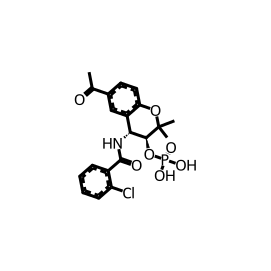 CC(=O)c1ccc2c(c1)[C@@H](NC(=O)c1ccccc1Cl)[C@H](OP(=O)(O)O)C(C)(C)O2